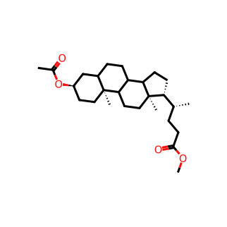 COC(=O)CC[C@@H](C)[C@H]1CCC2C3CCC4C[C@H](OC(C)=O)CC[C@]4(C)C3CC[C@@]21C